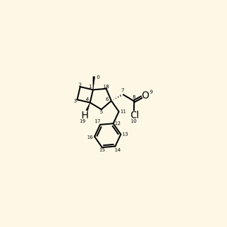 C[C@]12CC[C@H]1C[C@](CC(=O)Cl)(Cc1ccccc1)C2